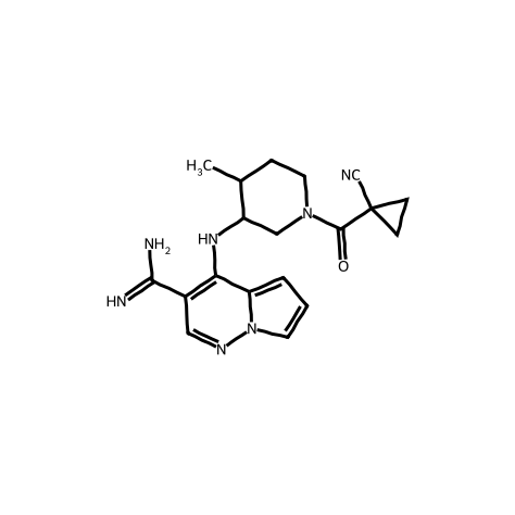 CC1CCN(C(=O)C2(C#N)CC2)CC1Nc1c(C(=N)N)cnn2cccc12